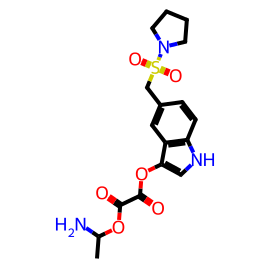 CC(N)OC(=O)C(=O)Oc1c[nH]c2ccc(CS(=O)(=O)N3CCCC3)cc12